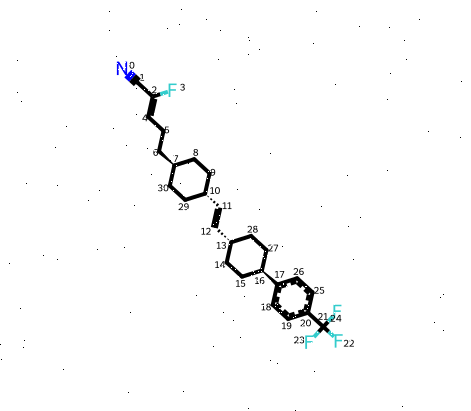 N#CC(F)=CCC[C@H]1CC[C@H](C=C[C@H]2CC[C@H](c3ccc(C(F)(F)F)cc3)CC2)CC1